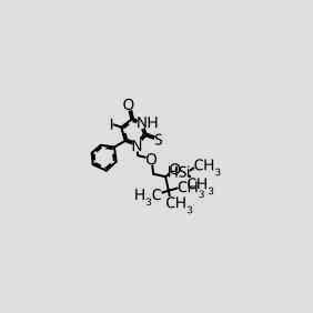 C[SiH](C)OC(COCn1c(-c2ccccc2)c(I)c(=O)[nH]c1=S)C(C)(C)C